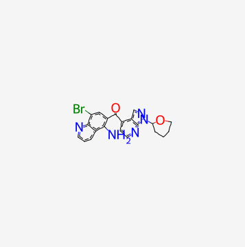 Nc1c(C(=O)c2ccnc3c2cnn3C2CCCCO2)cc(Br)c2ncccc12